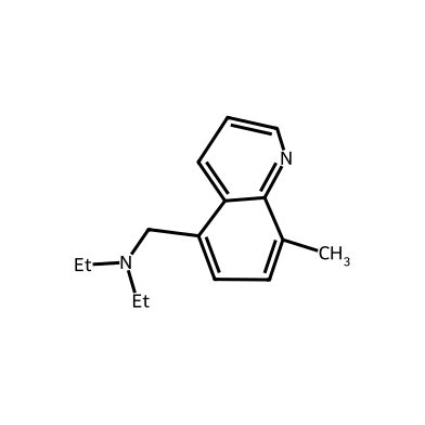 CCN(CC)Cc1ccc(C)c2ncccc12